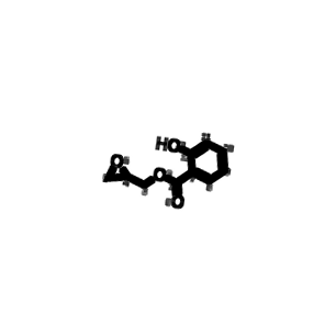 O=C(OCC1CO1)c1ccccc1O